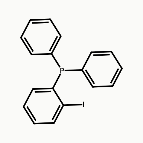 Ic1ccccc1P(c1ccccc1)c1ccccc1